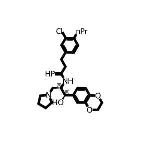 CCCc1ccc(CCC(=P)N[C@H](CN2CCCC2)[C@H](O)c2ccc3c(c2)OCCO3)cc1Cl